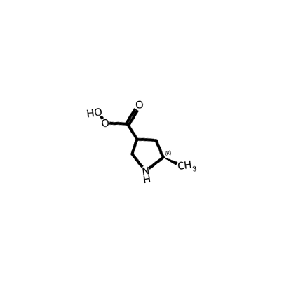 C[C@@H]1CC(C(=O)OO)CN1